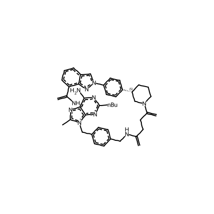 C=C(CCC(=C)N1CCC[C@@H](c2ccc(-n3cc4cccc(C(=C)N)c4n3)cc2)C1)NCc1ccc(Cn2c(C)nc3c(N)nc(CCCC)nc32)cc1